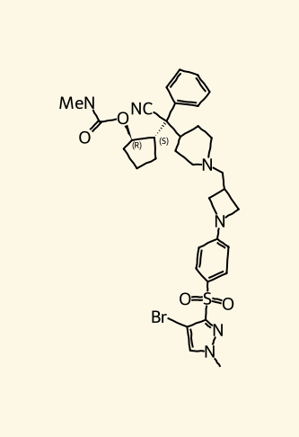 CNC(=O)O[C@@H]1CCC[C@H]1C(C#N)(c1ccccc1)C1CCN(CC2CN(c3ccc(S(=O)(=O)c4nn(C)cc4Br)cc3)C2)CC1